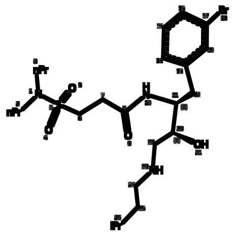 CCCN(CCC)S(=O)(=O)CCC(=O)N[C@@H](Cc1cccc(Br)c1)[C@@H](O)CNCCC(C)C